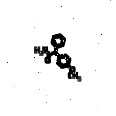 COc1ccc(C(C(N)=O)c2ccccc2)cc1